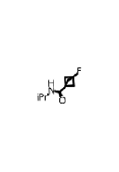 CC(C)NC(=O)C12CC(F)(C1)C2